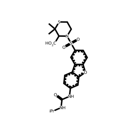 CC(C)NC(=O)Nc1ccc2c(c1)oc1ccc(S(=O)(=O)N3CCSC(C)(C)C3C(=O)O)cc12